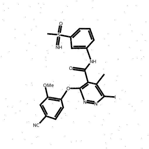 COc1cc(C#N)ccc1Oc1nnc(I)c(C)c1C(=O)Nc1cccc(S(C)(=N)=O)c1